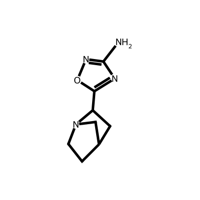 Nc1noc(C2CC3CCN2C3)n1